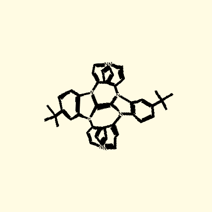 CC(C)(C)c1ccc2c(c1)N(c1ccncc1)/C(=C1\N(c3ccncc3)c3ccc(C(C)(C)C)cc3N1c1ccncc1)N2c1ccncc1